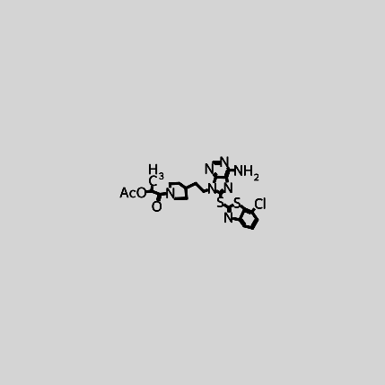 CC(=O)OC(C)C(=O)N1CCC(CCn2c(Sc3nc4cccc(Cl)c4s3)nc3c(N)ncnc32)CC1